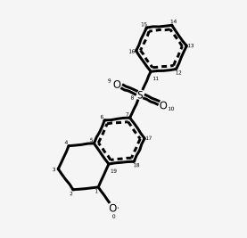 [O]C1CCCc2cc(S(=O)(=O)c3ccccc3)ccc21